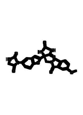 COc1ccc2c(c1)C(=O)N(C[C@@]1(c3cc4cc(N5C(=O)CNC5=O)ccc4o3)NC(=O)NC1=O)C2